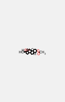 C#C[C@]1(O)CCC2C3CC[C@H]4C[C@H](OC(C)=O)CC[C@]4(C)C3CC[C@@]21C